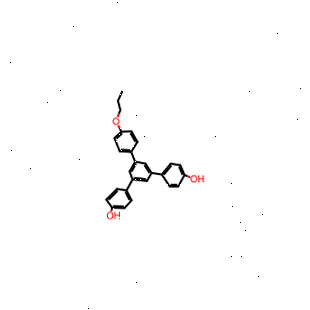 CCCOc1ccc(-c2cc(-c3ccc(O)cc3)cc(-c3ccc(O)cc3)c2)cc1